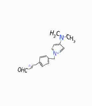 CN(C)c1cc[n+](Cc2ccc(/C=C/C=O)cc2)cc1